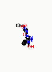 CC(C)(C)OC(=O)N1CCN(CC(=O)N2CCc3c(ncnc3N(CCO)C3C4CC5CC(C4)CC3C5)C2)CC1